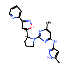 CCCc1cc(Nc2cc(C)[nH]n2)nc(N2CCC[C@H]2c2cc(-c3ccccn3)no2)n1